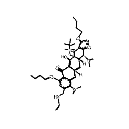 CCCCOc1cc(CNCC)c(N(C)C)c2c1C(=O)C1=C(O)[C@]3(O[Si](C)(C)C(C)(C)C)C(=O)c4c(OCCCC)noc4[C@@H](N(C)C)[C@@H]3C[C@@H]1C2